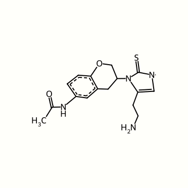 CC(=O)Nc1ccc2c(c1)CC(N1C(=S)[N]C=C1CCN)CO2